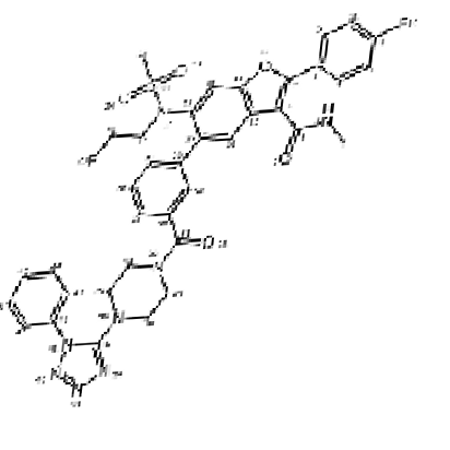 CNC(=O)c1c(-c2ccc(F)cc2)oc2cc(N(CCF)S(C)(=O)=O)c(-c3cccc(C(=O)N4CCN(c5nnnn5-c5ccccc5)CC4)c3)cc12